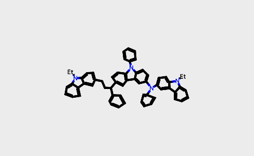 CCn1c2ccccc2c2cc(CCC(c3ccccc3)c3ccc4c(c3)c3cc(N(c5ccccc5)c5ccc6c(c5)c5ccccc5n6CC)ccc3n4-c3ccccc3)ccc21